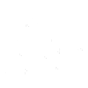 CC1(c2nc(-c3cc(F)cc(NS(C)(=O)=O)c3Cl)c(-c3ccnc(NCCC#N)n3)[nH]2)CC1